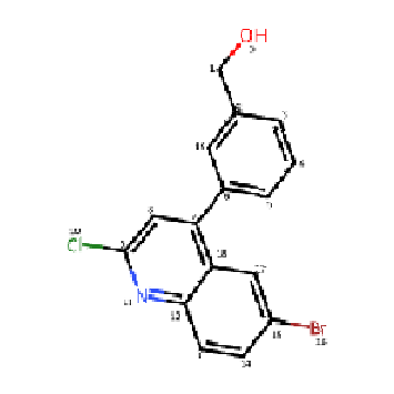 OCc1cccc(-c2cc(Cl)nc3ccc(Br)cc23)c1